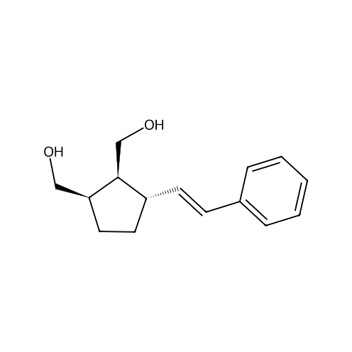 OC[C@@H]1CC[C@@H](/C=C/c2ccccc2)[C@@H]1CO